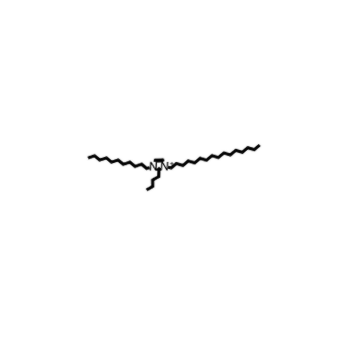 CCCCCCCCCCCCCCCC[n+]1ccn(CCCCCCCCCCC)c1CCCC